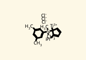 Cc1cc(C)cc([Si](C)(C)[C]2([Ti+3])C=CC=C2C(C)C)c1.[Cl-].[Cl-].[Cl-]